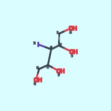 OCC(O)C(I)C(O)CO